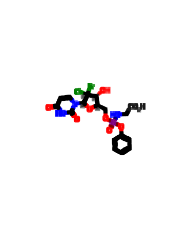 O=C(O)CNP(=O)(OC[C@H]1O[C@@H](n2ccc(=O)[nH]c2=O)[C@](Cl)(Br)[C@@H]1O)Oc1ccccc1